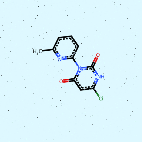 Cc1cccc(-n2c(=O)cc(Cl)[nH]c2=O)n1